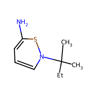 CCC(C)(C)N1C=CC=C(N)S1